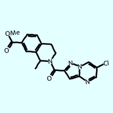 COC(=O)c1ccc2c(c1)C(C)N(C(=O)c1cc3ncc(Cl)cn3n1)CC2